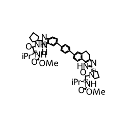 COC(=O)N[C@H](C(=O)NC1(c2nc3ccc(-c4ccc(-c5ccc6c(c5)CCc5nc([C@@H]7CCCN7C(=O)[C@@H](NC(=O)OC)C(C)C)[nH]c5-6)cc4)cc3[nH]2)CCCC1)C(C)C